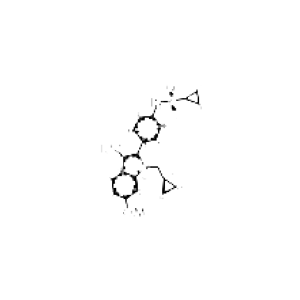 COc1ccc2c(N)c(-c3ccc(NS(=O)(=O)C4CC4)cc3)n(CC3CC3)c2c1